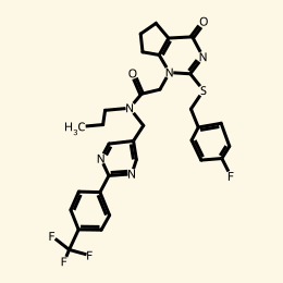 CCCN(Cc1cnc(-c2ccc(C(F)(F)F)cc2)nc1)C(=O)Cn1c(SCc2ccc(F)cc2)nc(=O)c2c1CCC2